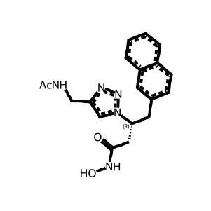 CC(=O)NCc1cn([C@@H](CC(=O)NO)Cc2ccc3ccccc3c2)nn1